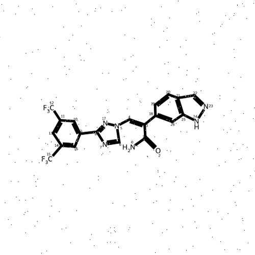 NC(=O)C(=Cn1cnc(-c2cc(C(F)(F)F)cc(C(F)(F)F)c2)n1)c1ccc2cn[nH]c2c1